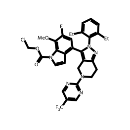 CCc1cccc(CC)c1-n1nc2c(c1-c1cc(F)c(OC)c3c1ccn3C(=O)OCCl)CN(c1ncc(C(F)(F)F)cn1)CC2